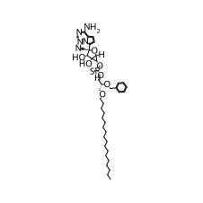 CCCCCCCCCCCCCCCCCCOC[C@H](CO[PH](=S)OC1[C@H]2O[C@@](C#N)(c3ccc4c(N)ncnn34)[C@H](O)[C@@]12O)OCc1ccccc1